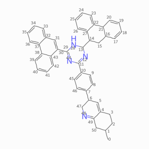 CC1CCC2=CC(c3ccc(C4=NC(C5CC6C=CC=CC6c6ccccc65)NC(c5cc6ccccc6c6ccccc56)=N4)cc3)CN=C2C1